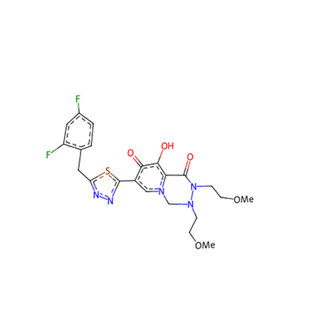 COCCN1Cn2cc(-c3nnc(Cc4ccc(F)cc4F)s3)c(=O)c(O)c2C(=O)N1CCOC